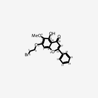 COc1c(OCCBr)cc2oc(-c3ccccc3)cc(=O)c2c1O